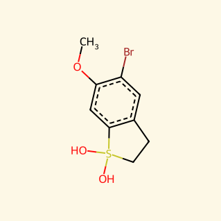 COc1cc2c(cc1Br)CCS2(O)O